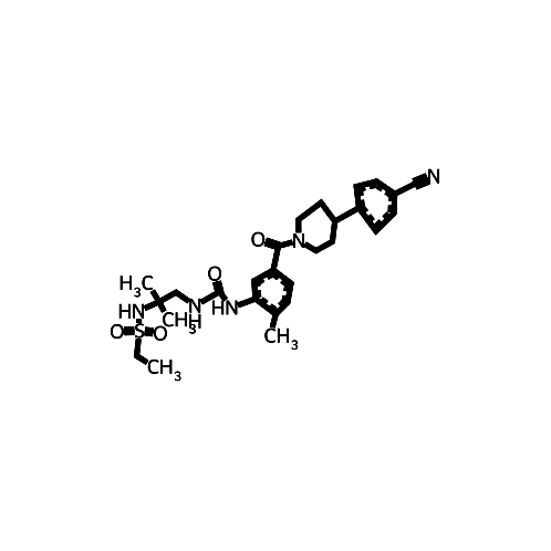 CCS(=O)(=O)NC(C)(C)CNC(=O)Nc1cc(C(=O)N2CCC(c3ccc(C#N)cc3)CC2)ccc1C